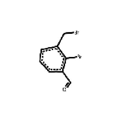 O=Cc1cccc(CBr)c1Br